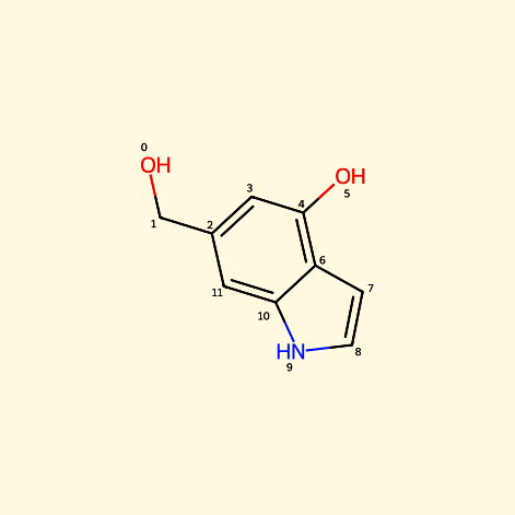 OCc1cc(O)c2cc[nH]c2c1